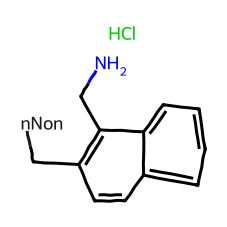 CCCCCCCCCCc1ccc2ccccc2c1CN.Cl